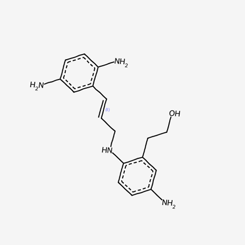 Nc1ccc(N)c(/C=C/CNc2ccc(N)cc2CCO)c1